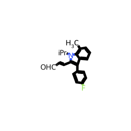 Cc1cccc2c(-c3ccc(F)cc3)c(/C=C/C=O)n(C(C)C)c12